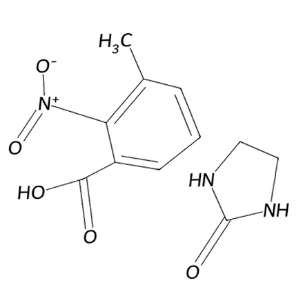 Cc1cccc(C(=O)O)c1[N+](=O)[O-].O=C1NCCN1